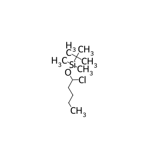 CCCCC(Cl)O[Si](C)(C)C(C)(C)C